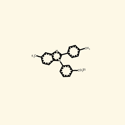 CCOC(=O)c1cccc(-n2c(-c3ccc(C)cc3)nc3cc(C(F)(F)F)ccc32)c1